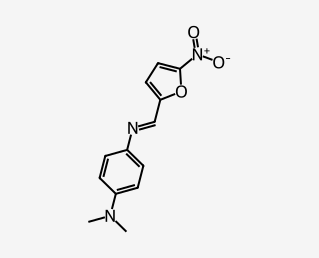 CN(C)c1ccc(N=Cc2ccc([N+](=O)[O-])o2)cc1